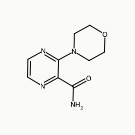 NC(=O)c1nccnc1N1CCOCC1